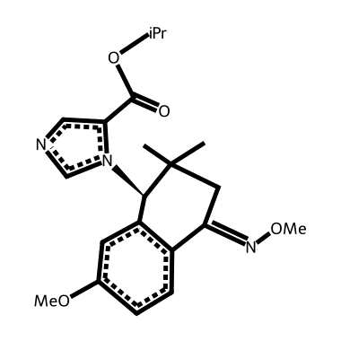 CO/N=C1\CC(C)(C)[C@H](n2cncc2C(=O)OC(C)C)c2cc(OC)ccc21